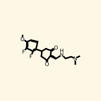 COc1ccc(C2CC(=O)C(=CNCCN(C)C)C(=O)C2)c(F)c1F